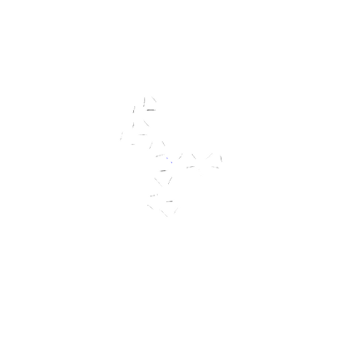 c1ccc2c(-c3ccc(N(c4ccc(-c5cc6c7ccccc7ccc6c6ccccc56)cc4)c4ccc5c(c4)sc4ccccc45)cc3)cccc2c1